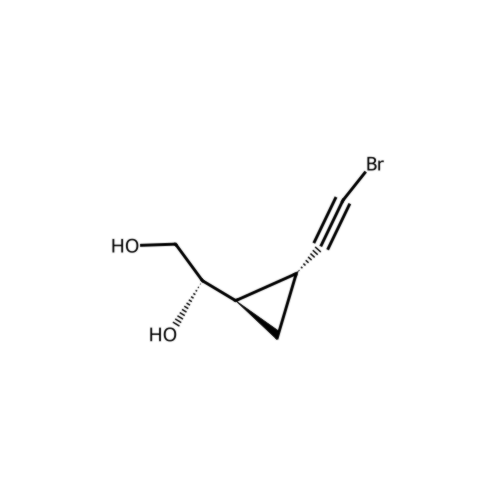 OC[C@@H](O)[C@@H]1C[C@H]1C#CBr